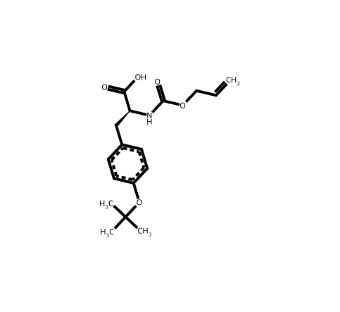 C=CCOC(=O)N[C@@H](Cc1ccc(OC(C)(C)C)cc1)C(=O)O